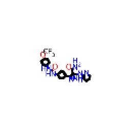 NC(=O)c1c(-c2ccc(NC(=O)Nc3ccc(OC(F)(F)F)cc3)cc2)n[nH]c1Nc1ccccn1